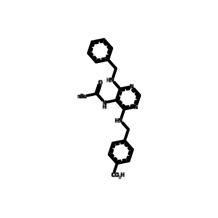 CCCCC(=O)Nc1c(NCc2ccccc2)ncnc1NCc1ccc(C(=O)O)cc1